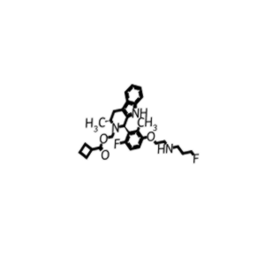 Cc1c(OCCNCCCF)ccc(F)c1[C@@H]1c2[nH]c3ccccc3c2C[C@@H](C)N1COC(=O)C1CCC1